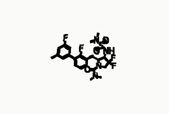 Cc1cc(F)cc(-c2cccc(C[C@H]3[C@@H](NS(=O)(=O)N(C)C)C(F)(F)CN3C(=O)N(C)C)c2F)c1